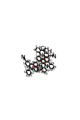 CC1(C)c2ccccc2N(c2ccccc2)c2c(-c3ccc4c(c3)N(c3ccccc3-c3ccccc3)c3cccc5c3B4c3ccc(-c4cc(C#N)ccc4N(c4ccccc4)c4ccccc4)cc3O5)cc(C#N)cc21